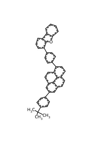 CC(C)(C)c1ccc(-c2cc3ccc4ccc(-c5ccc(-c6cccc7c6oc6ccccc67)cc5)c5ccc(c2)c3c45)cc1